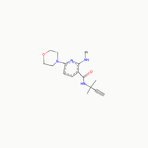 C#CC(C)(C)NC(=O)c1ccc(N2CCOCC2)nc1NC(C)C